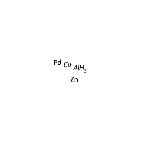 [AlH3].[Cu].[Pd].[Zn]